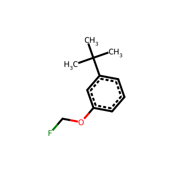 CC(C)(C)c1cccc(OCF)c1